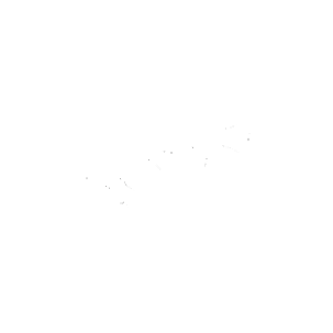 CCCn1nnc(Sc2ncc(NC(=O)c3ccccc3)s2)n1